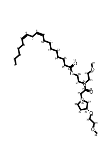 CCCCC/C=C\C/C=C\CCCCCCCC(=O)OCCN(CCOC)C(=O)CN1CC[C@@H](OCCOC)C1